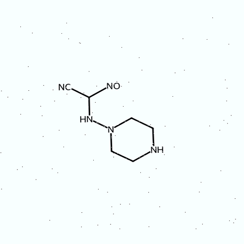 N#CC(N=O)NN1CCNCC1